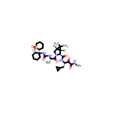 CCCNC(=O)C(=O)[C@H](CC1CC1)NC(=O)[C@@H]1[C@@H]2[C@H](CN1C(=O)[C@@H](NC(=O)NC1([C@H]3CCCCS3(=O)=O)CCCCC1)C(C)(C)C)C2(C)C